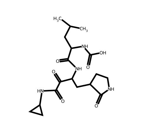 CC(C)CC(NC(=O)O)C(=O)NC(CC1CCNC1=O)C(=O)C(=O)NC1CC1